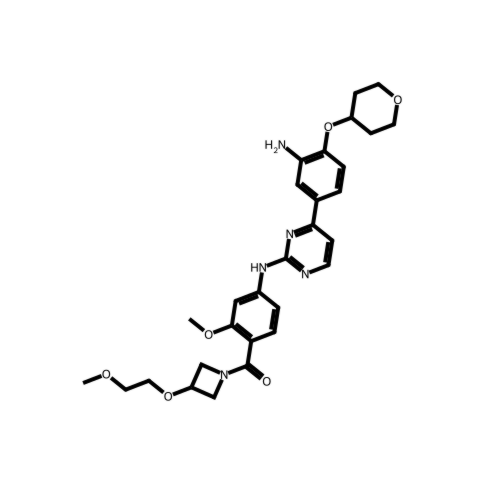 COCCOC1CN(C(=O)c2ccc(Nc3nccc(-c4ccc(OC5CCOCC5)c(N)c4)n3)cc2OC)C1